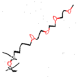 COCCOCCOCCOCCCC[Si](C)(C)O[Si](C)(C)C